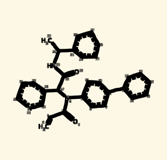 C=CC(=O)N(c1ccc(-c2ccccc2)cc1)C(C(=O)NC(C)c1ccccc1)c1cccnc1